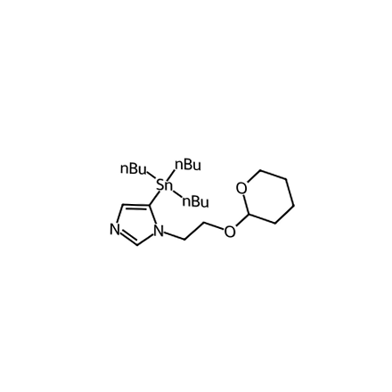 CCC[CH2][Sn]([CH2]CCC)([CH2]CCC)[c]1cncn1CCOC1CCCCO1